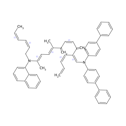 C=C/C=C\C(=C\N(c1ccc(-c2ccccc2)cc1)c1ccc(-c2ccccc2)cc1)C(=C)/C=C\C(=C)/C(C)=C/C=C(\C)N(C/C=C\C=C/C)c1cccc2ccccc12